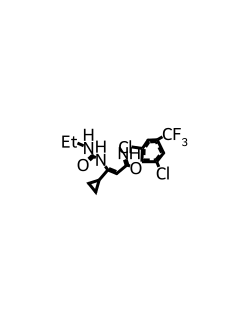 CCNC(=O)N/C(=C\C(=N)Oc1c(Cl)cc(C(F)(F)F)cc1Cl)C1CC1